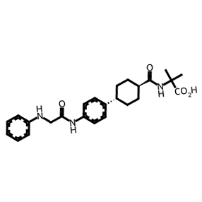 CC(C)(NC(=O)[C@H]1CC[C@H](c2ccc(NC(=O)CNc3ccccc3)cc2)CC1)C(=O)O